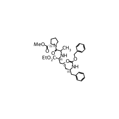 CCOC(=O)[C@H](CSC[C@H](Cc1ccccc1)NC(=O)OCc1ccccc1)NC(C)C(=O)N1CCC[C@H]1C(=O)OC